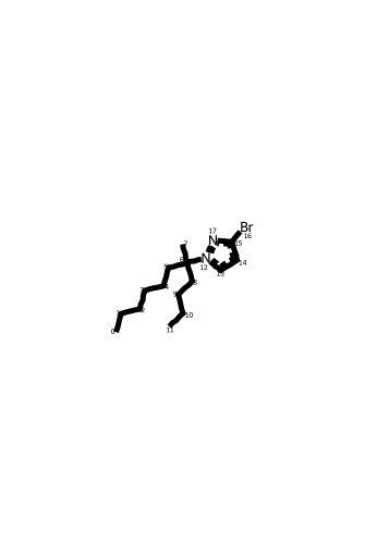 CCCCCCC(C)(CCCC)n1ccc(Br)n1